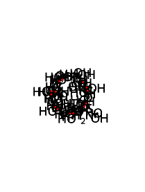 N[C@H](CSCC1O[C@@H]2O[C@@H]3C(CO)O[C@@H](O[C@@H]4C(CO)O[C@@H](O[C@@H]5C(CSC[C@@H](N)C(=O)O)O[C@@H](O[C@@H]6C(CO)O[C@H](O[C@@H]7C(CO)O[C@@H](O[C@@H]8C(CO)O[C@@H](O[C@H]1[C@H](O)C2O)C(O)[C@H]8O)C(O)[C@H]7O)C(O)[C@H]6O)C(O)[C@H]5O)C(O)[C@@H]4O)C(O)[C@H]3O)C(=O)O